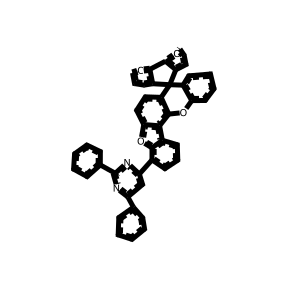 c1ccc(-c2cc(-c3cccc4c3oc3ccc5c(c34)Oc3ccccc3C53c4ccccc4-c4ccccc43)nc(-c3ccccc3)n2)cc1